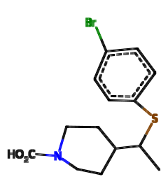 CC(Sc1ccc(Br)cc1)C1CCN(C(=O)O)CC1